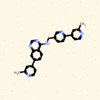 Cc1cc(-c2ccc3c(NCc4ccc(-c5ccnc(C)c5)nc4)ncnc3c2)ccn1